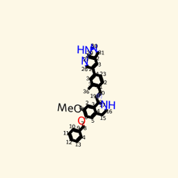 COc1cc2c(cc1OCc1ccccc1)CCNC2/C=C/c1ccc(-c2cnc3[nH]ncc3c2)cc1C